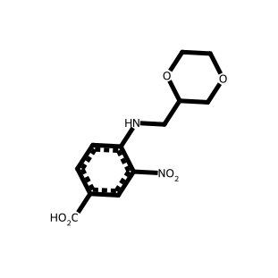 O=C(O)c1ccc(NCC2COCCO2)c([N+](=O)[O-])c1